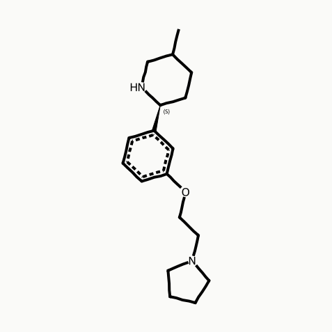 CC1CC[C@@H](c2cccc(OCCN3CCCC3)c2)NC1